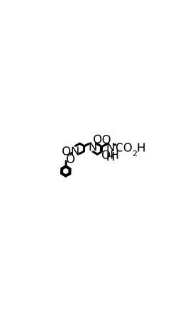 O=C(O)CNC(=O)C1=C(O)CCN(CC2CCN(C(=O)OCc3ccccc3)CC2)C1=O